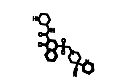 N#CC1(c2ccccn2)CCN(CS(=O)(=O)c2cc(C(=O)NC3CCCNC3)c(=O)n3ccccc23)CC1